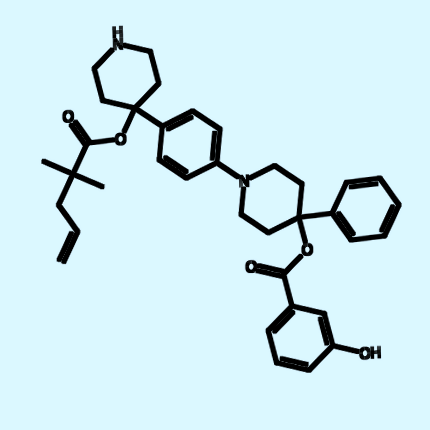 C=CCC(C)(C)C(=O)OC1(c2ccc(N3CCC(OC(=O)c4cccc(O)c4)(c4ccccc4)CC3)cc2)CCNCC1